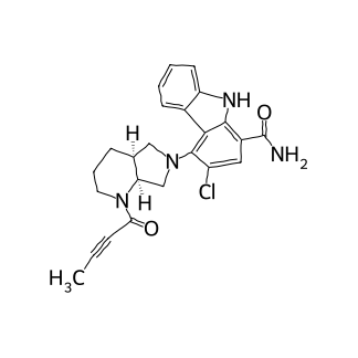 CC#CC(=O)N1CCC[C@H]2CN(c3c(Cl)cc(C(N)=O)c4[nH]c5ccccc5c34)C[C@H]21